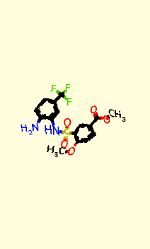 COC(=O)c1ccc(OC)c(S(=O)(=O)Nc2cc(C(F)(F)F)ccc2N)c1